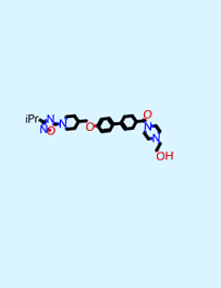 CC(C)c1noc(N2CCC(COc3ccc(C4=CCC(C(=O)N5CCN(CCO)CC5)CC4)cc3)CC2)n1